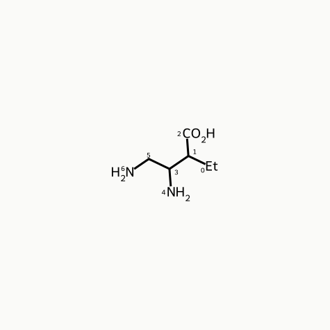 CCC(C(=O)O)C(N)CN